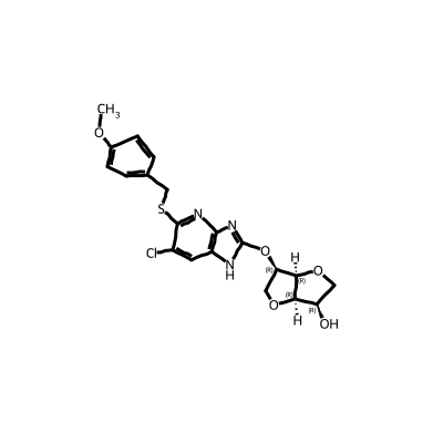 COc1ccc(CSc2nc3nc(O[C@@H]4CO[C@H]5[C@@H]4OC[C@H]5O)[nH]c3cc2Cl)cc1